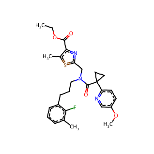 CCOC(=O)c1nc(CN(CCCc2cccc(C)c2F)C(=O)C2(c3ccc(OC)cn3)CC2)sc1C